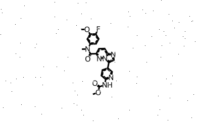 COC(=O)Nc1ccc(-c2cnc3ccc(C(=O)N(C)c4ccc(F)c(OC)c4)nn23)cn1